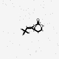 CC(C)(C)/C=C1\C2CCOC(=O)N12